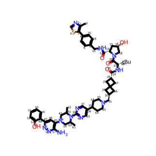 Cc1ncsc1-c1ccc(CNC(=O)[C@@H]2C[C@@H](O)CN2C(=O)[C@@H](NC(=O)[C@H]2CC3(C[C@H](CN4CCC(c5cnc(N6C(C)CN(c7cc(-c8ccccc8O)nnc7N)CC6C)nc5)CC4)C3)C2)C(C)(C)C)cc1